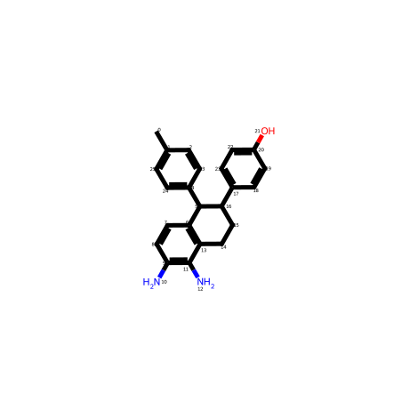 Cc1ccc(C2c3ccc(N)c(N)c3CCC2c2ccc(O)cc2)cc1